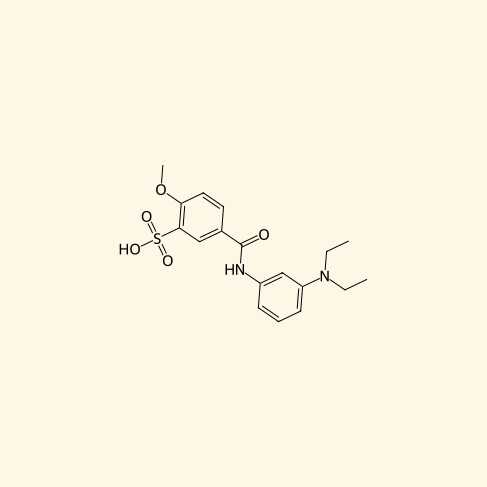 CCN(CC)c1cccc(NC(=O)c2ccc(OC)c(S(=O)(=O)O)c2)c1